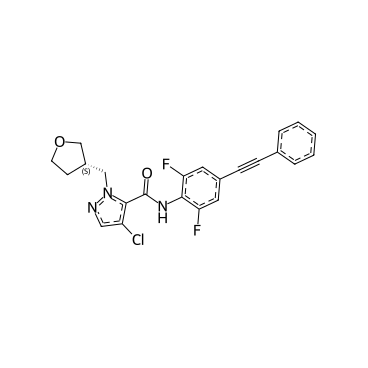 O=C(Nc1c(F)cc(C#Cc2ccccc2)cc1F)c1c(Cl)cnn1C[C@@H]1CCOC1